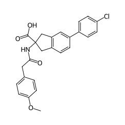 COc1ccc(CC(=O)NC2(C(=O)O)Cc3ccc(-c4ccc(Cl)cc4)cc3C2)cc1